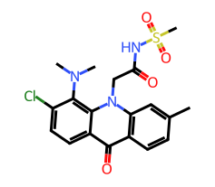 Cc1ccc2c(=O)c3ccc(Cl)c(N(C)C)c3n(CC(=O)NS(C)(=O)=O)c2c1